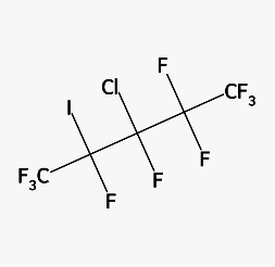 FC(F)(F)C(F)(F)C(F)(Cl)C(F)(I)C(F)(F)F